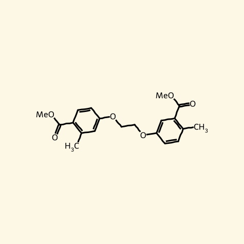 COC(=O)c1ccc(OCCOc2ccc(C)c(C(=O)OC)c2)cc1C